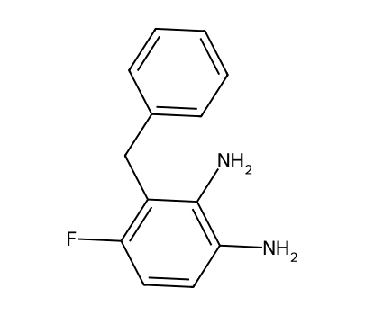 Nc1ccc(F)c(Cc2ccccc2)c1N